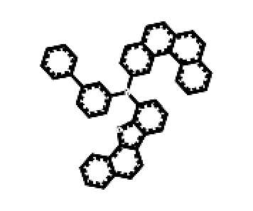 c1ccc(-c2cccc(N(c3ccc4ccc5ccc6ccccc6c5c4c3)c3cccc4c3sc3c5ccccc5ccc43)c2)cc1